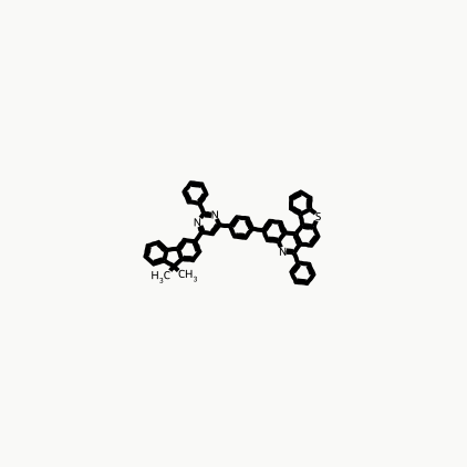 CC1(C)c2ccccc2-c2cc(-c3cc(-c4ccc(-c5ccc6c(c5)nc(-c5ccccc5)c5ccc7sc8ccccc8c7c56)cc4)nc(-c4ccccc4)n3)ccc21